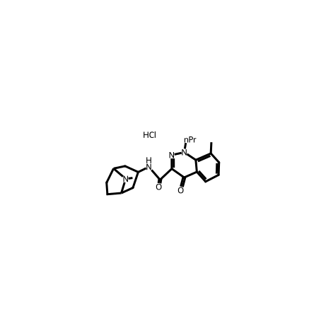 CCCn1nc(C(=O)NC2CC3CCC(C2)N3C)c(=O)c2cccc(C)c21.Cl